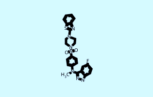 CN(C1=N[N]c2ccc(F)cc21)c1ccc(S(=O)(=O)N2CCN(c3nc4ccccc4s3)CC2)cc1